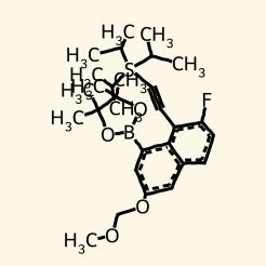 COCOc1cc(B2OC(C)(C)C(C)(C)O2)c2c(C#CS(C(C)C)(C(C)C)C(C)C)c(F)ccc2c1